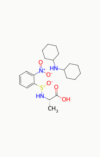 C1CCC(NC2CCCCC2)CC1.C[C@H](N[S+]([O-])c1ccccc1[N+](=O)[O-])C(=O)O